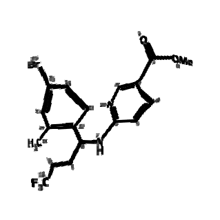 COC(=O)c1ccc(NC(CCC(F)(F)F)c2ccc(Br)cc2C)nc1